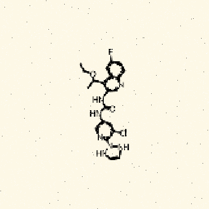 CCOC(C)c1c(NC(=O)Nc2cnc(N3NC=CN3)c(Cl)c2)cnc2ccc(F)cc12